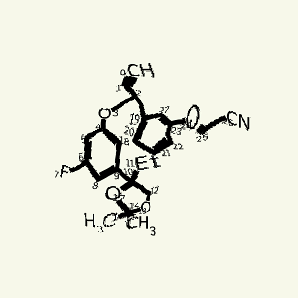 C#CC(Oc1cc(F)cc(C2(CC)COC(C)(C)O2)c1)c1cccc(OCC#N)c1